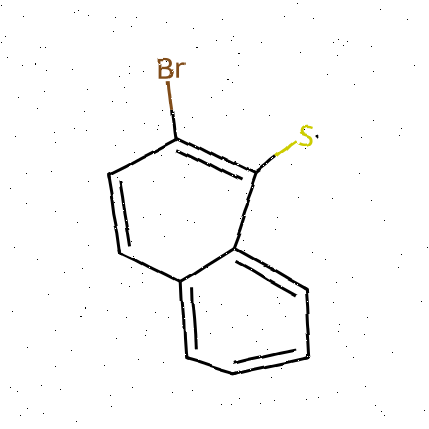 [S]c1c(Br)ccc2ccccc12